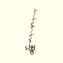 CS/C(=C/[N+](=O)[O-])NCCSC/C=C(\C)CC/C=C(\C)CC/C=C(\C)CCC=C(C)C